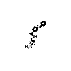 Nc1ncc(CN[C@@H]2C[C@H]2c2ccc(OCc3ccccc3)cc2)s1